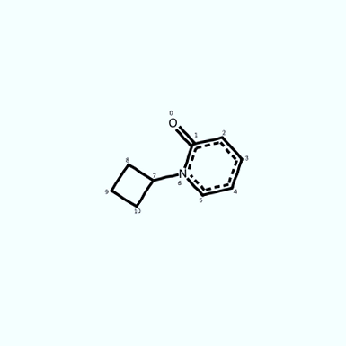 O=c1c[c]ccn1C1CCC1